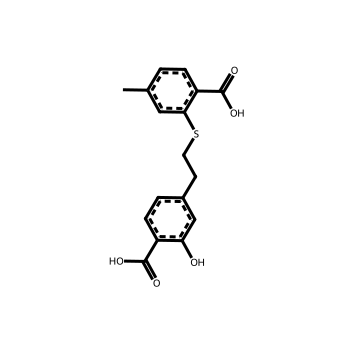 Cc1ccc(C(=O)O)c(SCCc2ccc(C(=O)O)c(O)c2)c1